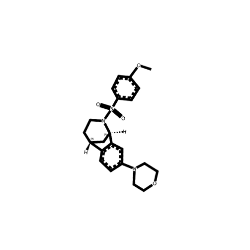 COc1ccc(S(=O)(=O)N2CC[C@@H]3C[C@@H]2c2cc(N4CCOCC4)ccc23)cc1